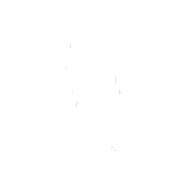 N#Cc1c(F)c(F)c(-c2c(F)c(F)c(SF)c(F)c2F)c(F)c1F